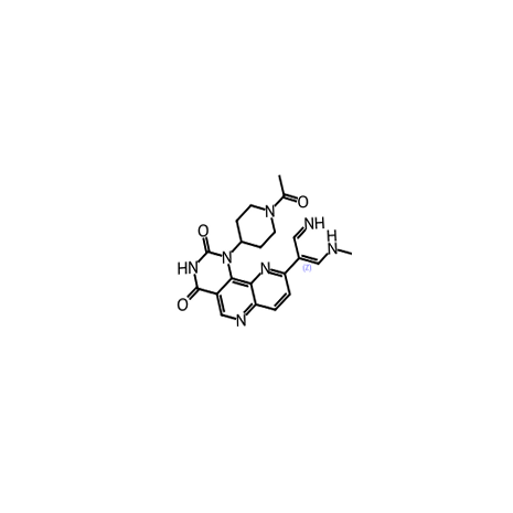 CN/C=C(\C=N)c1ccc2ncc3c(=O)[nH]c(=O)n(C4CCN(C(C)=O)CC4)c3c2n1